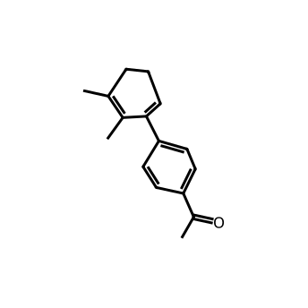 CC(=O)c1ccc(C2=CCCC(C)=C2C)cc1